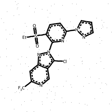 CCS(=O)(=O)c1ccc(-n2cccn2)nc1-n1nc2cc(C(F)(F)F)ncc2c1Cl